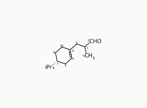 CC(C=O)CC1=CC[C@H](C(C)C)CC1